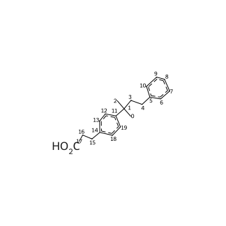 CC(C)(CCc1ccccc1)c1ccc(CCC(=O)O)cc1